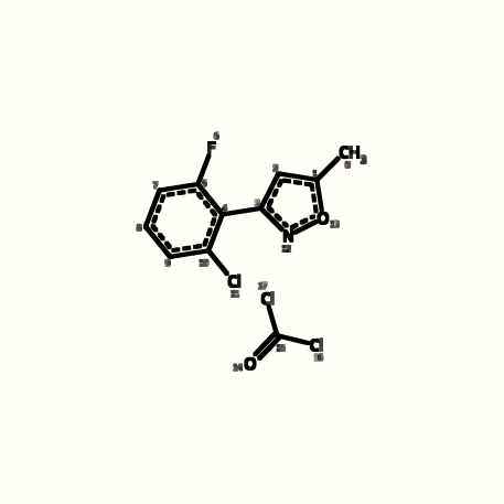 Cc1cc(-c2c(F)cccc2Cl)no1.O=C(Cl)Cl